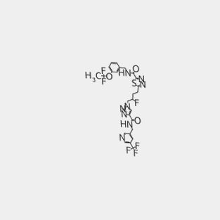 CC(F)(F)Oc1cccc(CNC(=O)c2nnc(CCC(F)Cn3cc(C(=O)NCc4cncc(C(F)(F)F)c4)nn3)s2)c1